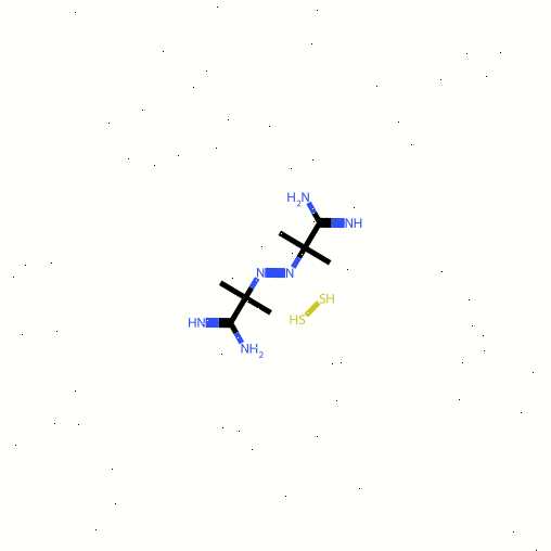 CC(C)(N=NC(C)(C)C(=N)N)C(=N)N.SS